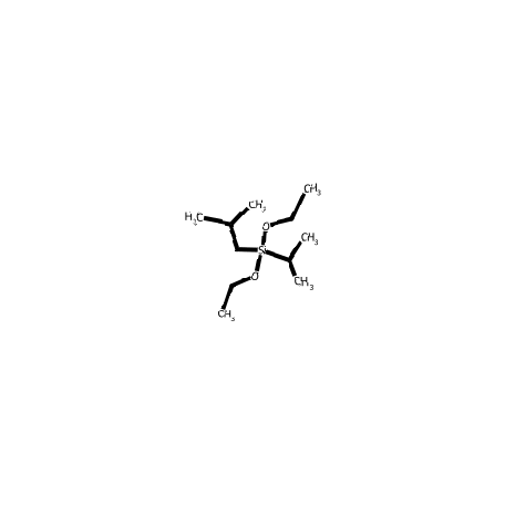 CCO[Si](CC(C)C)(OCC)C(C)C